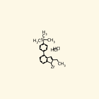 CCC1=Cc2c(-c3ccc([Si](C)(C)C)cc3)cccc2[CH]1[Zr].Cl.Cl